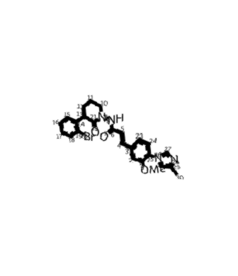 COc1cc(C=CC(=O)NN2CCCC(c3ccccc3Br)C2=O)ccc1-n1cnc(C)c1